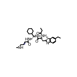 CCC(=O)N[C@@H](Cc1nc2ccc(CC)cc2s1)C(=O)N[C@H](CNC(=O)/C=C/CNC)C1CCCCC1